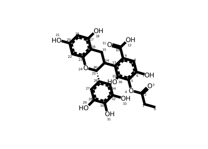 CCC(=O)Oc1c(O)cc(C(=O)O)c(C2Cc3c(O)cc(O)cc3O[C@H]2c2cc(O)c(O)c(O)c2)c1O